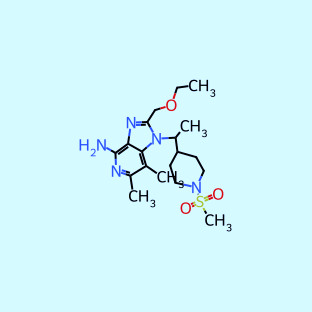 CCOCc1nc2c(N)nc(C)c(C)c2n1C(C)C1CCN(S(C)(=O)=O)CC1